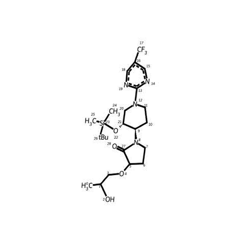 CC(O)COC1CCN([C@@H]2CCN(c3ncc(C(F)(F)F)cn3)C[C@H]2O[Si](C)(C)C(C)(C)C)C1=O